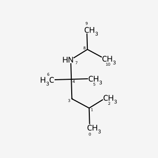 CC(C)CC(C)(C)NC(C)C